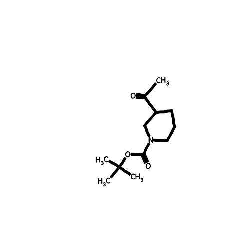 CC(=O)C1CCCN(C(=O)OC(C)(C)C)C1